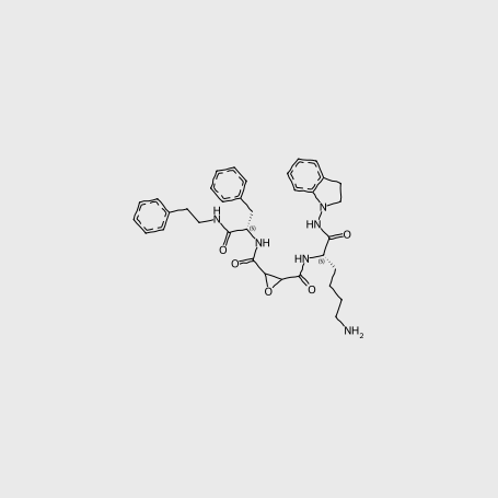 NCCCC[C@H](NC(=O)C1OC1C(=O)N[C@@H](Cc1ccccc1)C(=O)NCCc1ccccc1)C(=O)NN1CCc2ccccc21